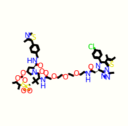 Cc1ncsc1-c1ccc(CNC(=O)[C@@H]2C[C@@H](OC(=O)OC(C)C(C)SS(C)(=O)=O)CN2C(=O)[C@@H](NC(=O)COCCOCCOCCNC(=O)C[C@@H]2N=C(c3ccc(Cl)cc3)c3c(sc(C)c3C)-n3c(C)nnc32)C(C)(C)C)cc1